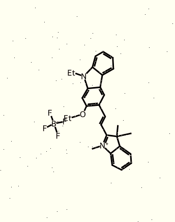 CCOc1cc2c(cc1/C=C/C1=[N+](C)c3ccccc3C1(C)C)c1ccccc1n2CC.F[B-](F)(F)F